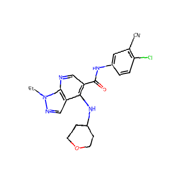 CCn1ncc2c(NC3CCOCC3)c(C(=O)Nc3ccc(Cl)c(C#N)c3)cnc21